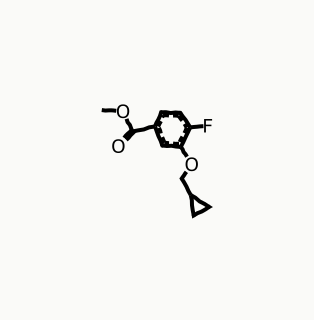 COC(=O)c1ccc(F)c(OCC2CC2)c1